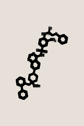 CC[C@@H](CSc1ccccc1)Nc1ccc(S(=O)(=O)Nc2ncnc3cc(N4CCC(Cc5ccccc5-c5ccccc5)(OC)CC4)ccc23)cc1[N+](=O)[O-]